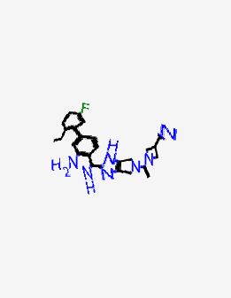 C=C(N1Cc2nc(C(=N)c3ccc(-c4cc(F)ccc4CC)cc3N)[nH]c2C1)N1CC(C#N)C1